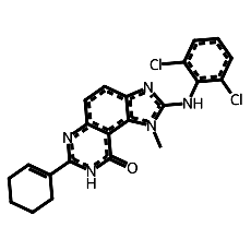 Cn1c(Nc2c(Cl)cccc2Cl)nc2ccc3nc(C4=CCCCC4)[nH]c(=O)c3c21